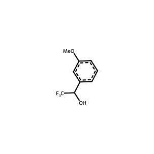 COc1cccc(C(O)C(F)(F)F)c1